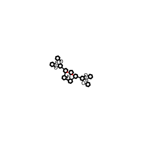 c1ccc(-n2c3c(-c4cccc(-c5cc6c7c(c5)Oc5ccccc5B7c5ccccc5O6)c4)cccc3c3cccc(-c4cccc(-c5cc6c7c(c5)Oc5ccccc5B7c5ccccc5O6)c4)c32)cc1